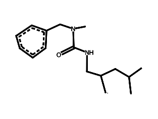 [CH2]C(CNC(=O)N(C)Cc1ccccc1)CC(C)C